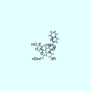 CCCCCCCCCCCCC[C@@H](CC(N)=O)N(CCC(C)C)C(=O)[C@H](CCCC(=O)O)NC(=O)c1ccc2ccccc2n1